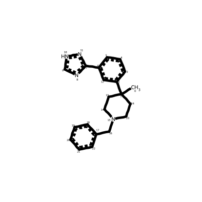 CC1(c2cccc(-c3nc[nH]n3)c2)CCN(Cc2ccccc2)CC1